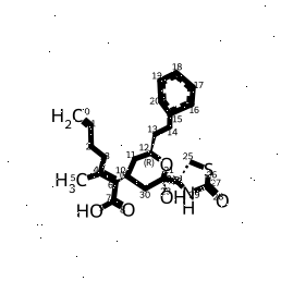 C=CCCC(C)=C(C(=O)O)[C@@H]1C[C@@H](CCc2ccccc2)O[C@@](O)([C@@H]2CSC(=O)N2)C1